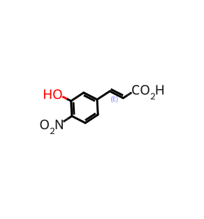 O=C(O)/C=C/c1ccc([N+](=O)[O-])c(O)c1